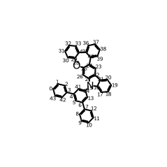 c1ccc(-c2cc(-c3ccccc3)cc(-n3c4ccccc4c4cc5c(cc43)Oc3ccccc3-c3ccccc3-5)c2)cc1